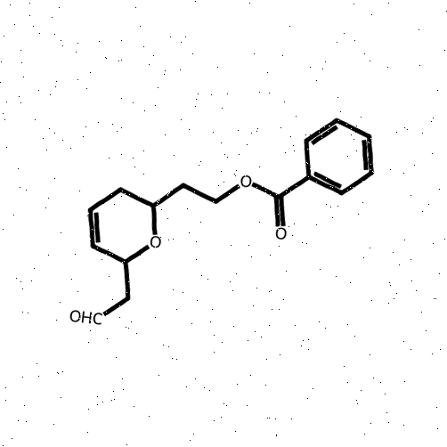 O=CCC1C=CCC(CCOC(=O)c2ccccc2)O1